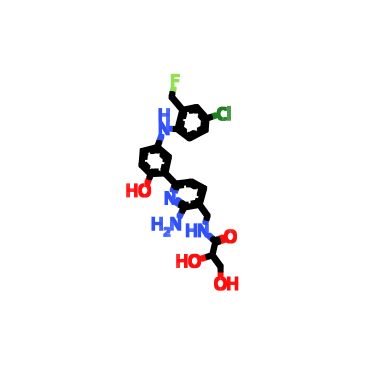 Nc1nc(-c2cc(Nc3ccc(Cl)cc3CF)ccc2O)ccc1CNC(=O)C(O)CO